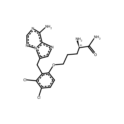 NC(=O)[C@H](N)CCCOc1ccc(Cl)c(Cl)c1Cc1cnc2c(N)ncnn12